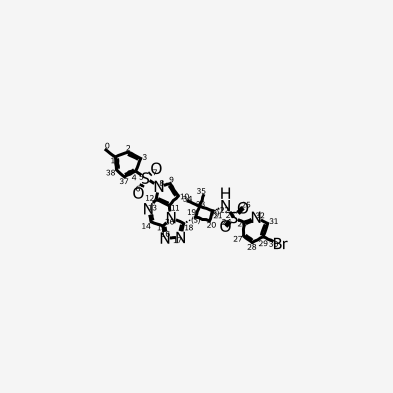 Cc1ccc(S(=O)(=O)n2ccc3c2ncc2nnc([C@H]4C[C@@H](NS(=O)(=O)c5ccc(Br)cn5)C4(C)C)n23)cc1